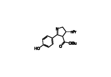 CCCC1CN=C(c2ccc(O)cc2)C1C(=O)OCC(C)C